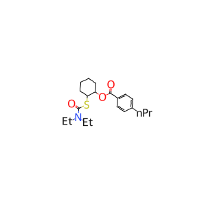 CCCc1ccc(C(=O)OC2CCCCC2SC(=O)N(CC)CC)cc1